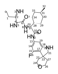 CCC(=N)C(=N)C(=O)N[C@H](C(=O)Nc1cc(F)c2c(c1)NCC21CCOCC1)[C@H]1CC[C@H](C)CC1